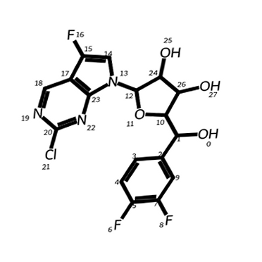 OC(c1ccc(F)c(F)c1)C1OC(n2cc(F)c3cnc(Cl)nc32)C(O)C1O